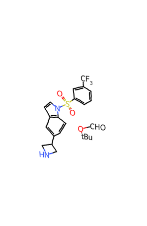 CC(C)(C)OC=O.O=S(=O)(c1cccc(C(F)(F)F)c1)n1ccc2cc(C3CNC3)ccc21